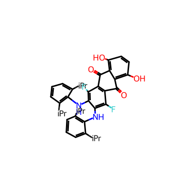 CC(C)c1cccc(C(C)C)c1Nc1c(F)c2c(c(F)c1Nc1c(C(C)C)cccc1C(C)C)C(=O)c1c(O)ccc(O)c1C2=O